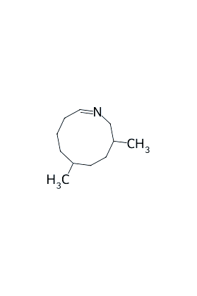 CC1CCC/C=N\CC(C)CC1